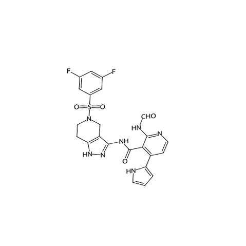 O=CNc1nccc(-c2ccc[nH]2)c1C(=O)Nc1n[nH]c2c1CN(S(=O)(=O)c1cc(F)cc(F)c1)CC2